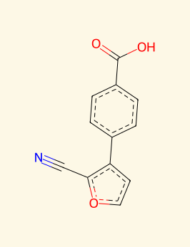 N#Cc1occc1-c1ccc(C(=O)O)cc1